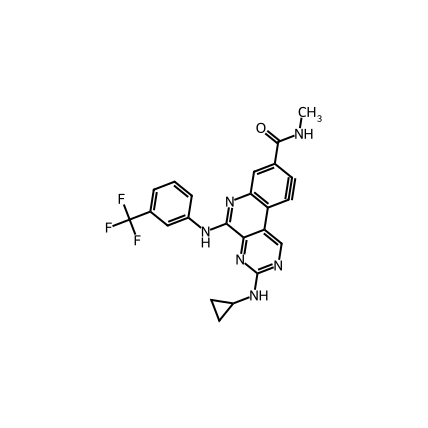 CNC(=O)c1c#cc2c(c1)nc(Nc1cccc(C(F)(F)F)c1)c1nc(NC3CC3)ncc12